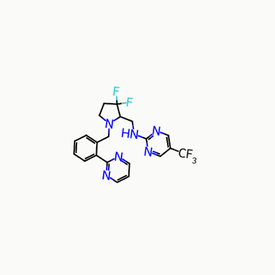 FC(F)(F)c1cnc(NCC2N(Cc3ccccc3-c3ncccn3)CCC2(F)F)nc1